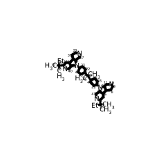 CCC(C)(C)c1cc2c3ccncc3n(-c3ccc(C(C)(C)c4ccc(-n5c6cnccc6c6cc(C(C)(C)CC)ncc65)cc4)cc3)c2cn1